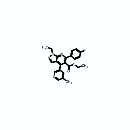 CCOC(=O)c1c(-c2ccc(F)cc2)nc2c(cnn2CC)c1-c1cncc(C)c1